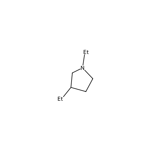 [CH2]CC1CCN(CC)C1